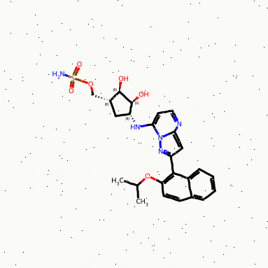 CC(C)Oc1ccc2ccccc2c1-c1cc2nccc(N[C@@H]3C[C@H](COS(N)(=O)=O)[C@@H](O)[C@H]3O)n2n1